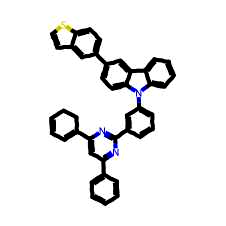 C1=CCCC(c2cc(-c3ccccc3)nc(-c3cccc(-n4c5ccccc5c5cc(-c6ccc7sccc7c6)ccc54)c3)n2)=C1